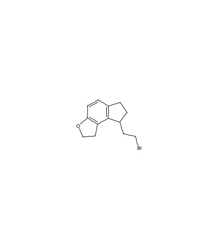 BrCCC1CCc2ccc3c(c21)CCO3